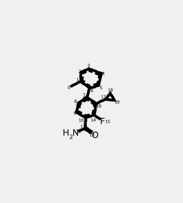 Cc1ccccc1-c1ccc(C(N)=O)c(F)c1C1CC1